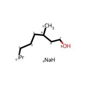 CC(C)CCCC(C)CCO.[NaH]